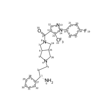 N[C@@H](CCN1CC2CN(C(=O)c3cnn(-c4ccc(F)cc4)c3C(F)(F)F)CC2C1)c1ccccc1